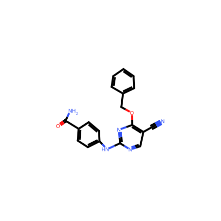 N#Cc1cnc(Nc2ccc(C(N)=O)cc2)nc1OCc1ccccc1